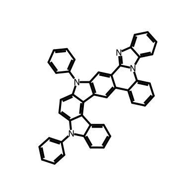 c1ccc(-n2c3ccccc3c3c4c5cc6c7ccccc7n7c8ccccc8nc7c6cc5n(-c5ccccc5)c4ccc32)cc1